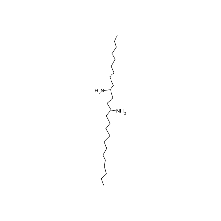 CCCCCCCCCCCCC(N)CCC(N)CCCCCCCCC